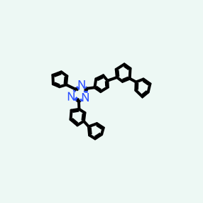 c1ccc(-c2cccc(-c3ccc(-c4nc(-c5ccccc5)nc(-c5cccc(-c6ccccc6)c5)n4)cc3)c2)cc1